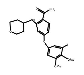 COc1cc(Sc2ccc(C(N)=O)c(NC3CCOCC3)c2)cc(I)c1OC